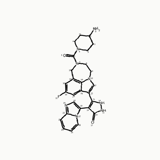 NC1CCN(C(=O)N2CCn3cc(-c4[nH][nH]c(=O)c4-c4cnc5ccccn45)c4cc(F)cc(c43)C2)CC1